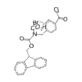 O=C(Cl)c1ccc(CN(C(=O)O)C(=O)OCC2c3ccccc3-c3ccccc32)c(Br)c1